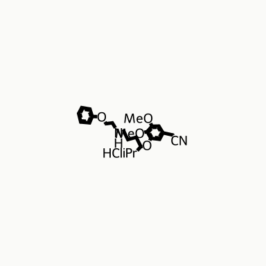 COc1cc(CC#N)cc(OC(CCCNCCOc2ccccc2)C(C)C)c1OC.Cl